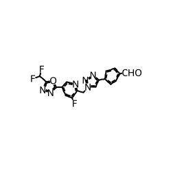 O=Cc1ccc(-c2cn(Cc3ncc(-c4nnc(C(F)F)o4)cc3F)nn2)cc1